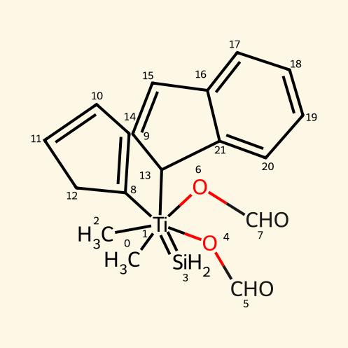 [CH3][Ti]([CH3])(=[SiH2])([O]C=O)([O]C=O)([C]1=CC=CC1)[CH]1C=Cc2ccccc21